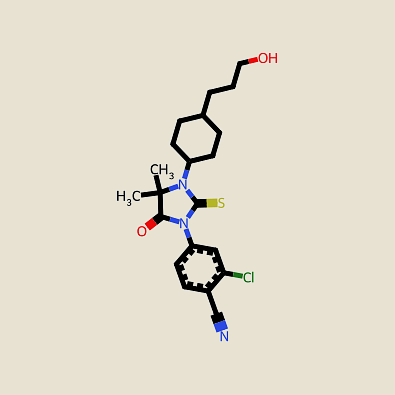 CC1(C)C(=O)N(c2ccc(C#N)c(Cl)c2)C(=S)N1C1CCC(CCCO)CC1